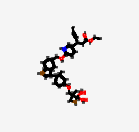 CC#CC(CC(=O)OCC)c1ccc(OCc2ccc3scc(-c4ccc(OCC5(C)CSC5(O)O)cc4C)c3c2)nc1